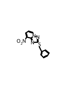 O=[N+]([O-])c1cccn2nc(SCc3ccccc3)nc12